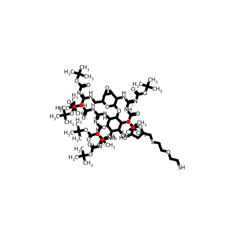 CC(C)(C)OC(=O)/N=C(\NC(=O)OC(C)(C)C)NC1CC(N/C(=N\C(=O)OC(C)(C)C)NC(=O)OC(C)(C)C)C(OC2OC(CN/C(=N\C(=O)OC(C)(C)C)NC(=O)OC(C)(C)C)C3OC3C2N/C(=N\C(=O)OC(C)(C)C)NC(=O)OC(C)(C)C)C(OC2OC(CSCCOCCS)CC2O)C1O